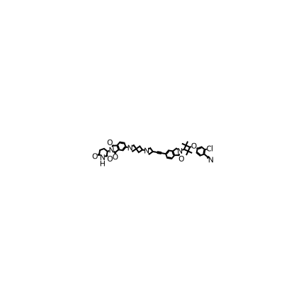 CC1(C)C(Oc2ccc(C#N)c(Cl)c2)C(C)(C)C1N1Cc2cc(C#CC3CN(C4CC5(C4)CN(c4ccc6c(c4)C(=O)N(C4CCC(=O)NC4=O)C6=O)C5)C3)ccc2C1=O